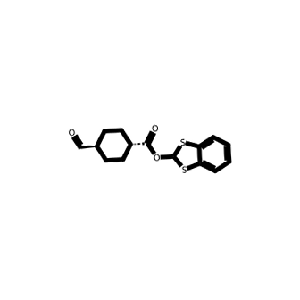 O=C[C@H]1CC[C@H](C(=O)OC2Sc3ccccc3S2)CC1